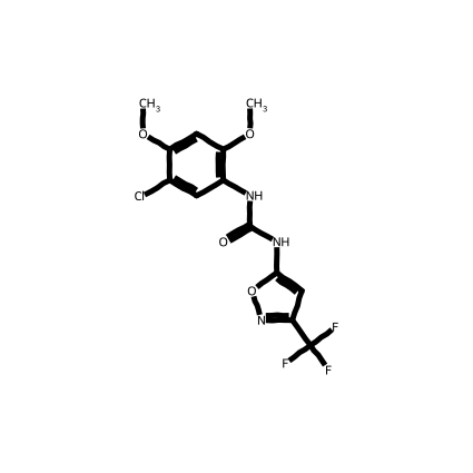 COc1cc(OC)c(NC(=O)Nc2cc(C(F)(F)F)no2)cc1Cl